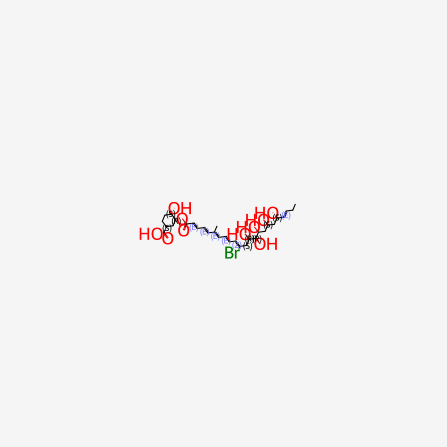 CC/C=C/[C@@H](O)C[C@H](O)CC(O)[C@@H](O)[C@H](O)[C@H](C)/C(Br)=C/C=C/C=C(C)/C=C/C=C/C(=O)O[C@@H]1C[C@@H](C(=O)O)CC[C@@H]1O